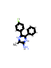 N#Cc1nc(-c2ccc(F)cc2)c(-c2ccccc2)nc1N